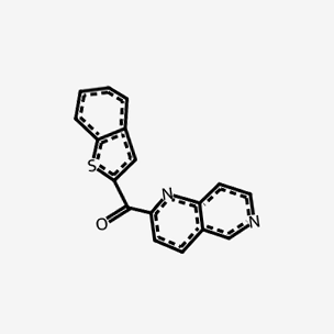 O=C(c1ccc2cnccc2n1)c1cc2ccccc2s1